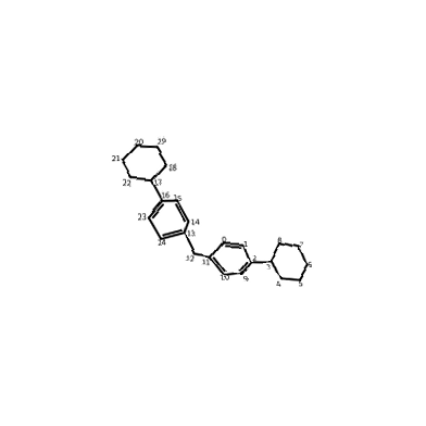 c1cc(C2CCCCC2)ccc1Cc1ccc(C2CCCCC2)cc1